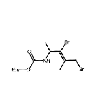 C/C(CBr)=C(/Br)C(C)NC(=O)OC(C)(C)C